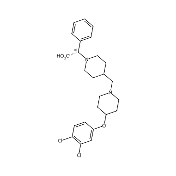 O=C(O)[C@H](c1ccccc1)N1CCC(CN2CCC(Oc3ccc(Cl)c(Cl)c3)CC2)CC1